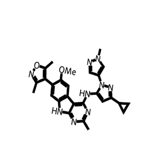 COc1cc2c(cc1-c1c(C)noc1C)[nH]c1nc(C)nc(Nc3cc(C4CC4)nn3-c3cnn(C)c3)c12